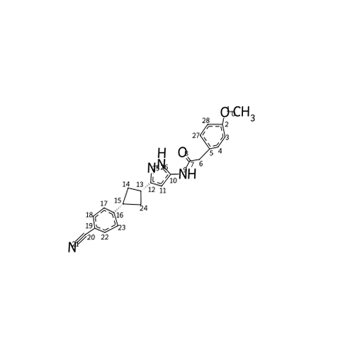 COc1ccc(CC(=O)Nc2cc([C@H]3C[C@@H](c4ccc(C#N)cc4)C3)n[nH]2)cc1